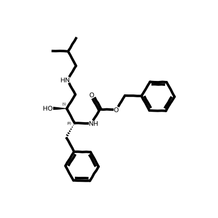 CC(C)CNC[C@H](O)[C@@H](Cc1ccccc1)NC(=O)OCc1ccccc1